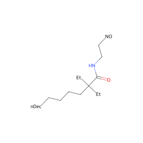 CCCCCCCCCCCCCCC(CC)(CC)C(=O)NCCN=O